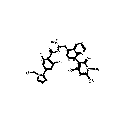 Cc1cc(-c2nccn2CC(F)(F)F)cc(F)c1C(=O)N[C@@H](Cc1ccc(-c2c(C(F)(F)F)cc(C)n(C)c2=O)c2ncccc12)C(=O)O